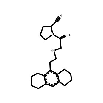 C=C(CNCCc1c2c(cc3c1CCCC3)CCCC2)N1CCCC1C#N